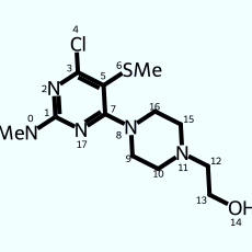 CNc1nc(Cl)c(SC)c(N2CCN(CCO)CC2)n1